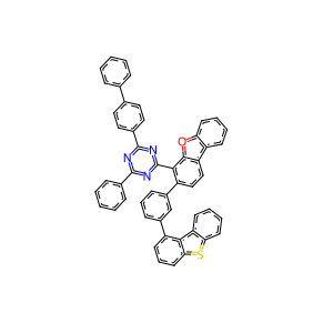 c1ccc(-c2ccc(-c3nc(-c4ccccc4)nc(-c4c(-c5cccc(-c6cccc7sc8ccccc8c67)c5)ccc5c4oc4ccccc45)n3)cc2)cc1